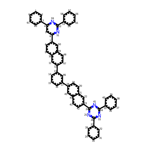 c1ccc(-c2cc(-c3ccc4cc(-c5cccc(-c6ccc7cc(-c8nc(-c9ccccc9)nc(-c9ccccc9)n8)ccc7c6)c5)ccc4c3)nc(-c3ccccc3)n2)cc1